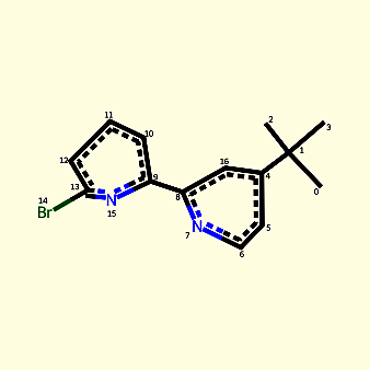 CC(C)(C)c1ccnc(-c2cccc(Br)n2)c1